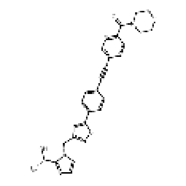 C[C@H](O)c1nccn1Cc1cc(-c2ccc(C#Cc3ccc(C(=O)N4CCOCC4)nc3)cc2)on1